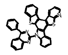 c1ccc(-c2nc(-n3c4ccccc4c4c5sc6ncccc6c5c5c6ccccc6sc5c43)nc3ccccc23)cc1